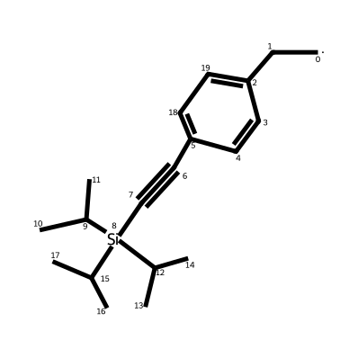 [CH2]Cc1ccc(C#C[Si](C(C)C)(C(C)C)C(C)C)cc1